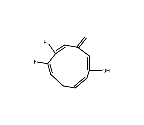 C=C1/C=C(O)\C=C/C/C=C(F)\C(Br)=C/1